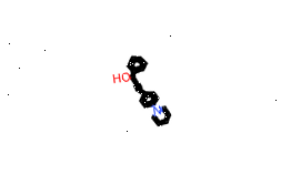 OC(C#Cc1ccc(N2CCCCC2)cc1)c1ccccc1